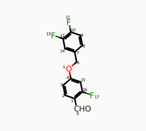 O=Cc1ccc(OCc2ccc(F)c(F)c2)cc1F